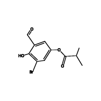 CC(C)C(=O)Oc1cc(Br)c(O)c(C=O)c1